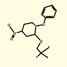 O=[N+]([O-])C1CCN(Oc2ccccc2)C(OCC(F)(F)F)C1